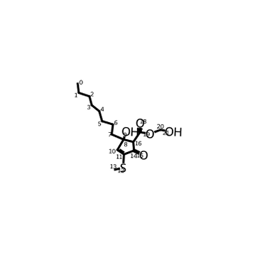 CCCCCCCCC1(O)C=C(SC)C(=O)C1C(=O)OCO